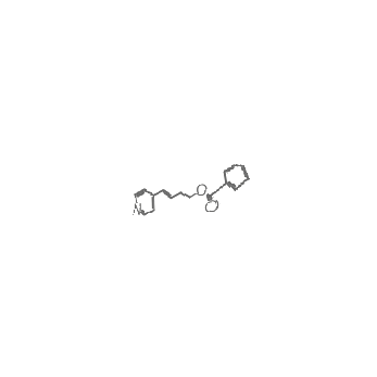 O=C(OCC/C=C/c1ccncc1)c1ccccc1